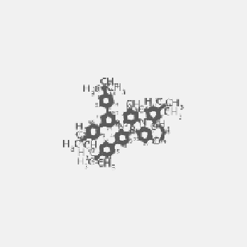 Cc1cc2c3c(c1)N(c1c(C)cc(C(C)(C)C)cc1C)c1c(ccc4c1OCCCO4)B3c1ccc(-c3ccc(C(C)(C)C)cc3)cc1N2c1cc(-c2ccc(C(C)(C)C)cc2)cc(-c2ccc(C(C)(C)C)cc2)c1